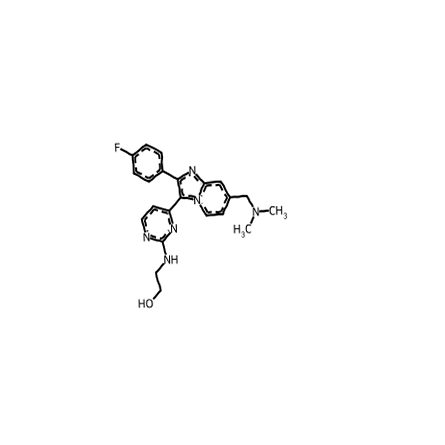 CN(C)Cc1ccn2c(-c3ccnc(NCCO)n3)c(-c3ccc(F)cc3)nc2c1